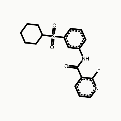 O=C(Nc1cccc(S(=O)(=O)C2CCCCC2)c1)c1cccnc1F